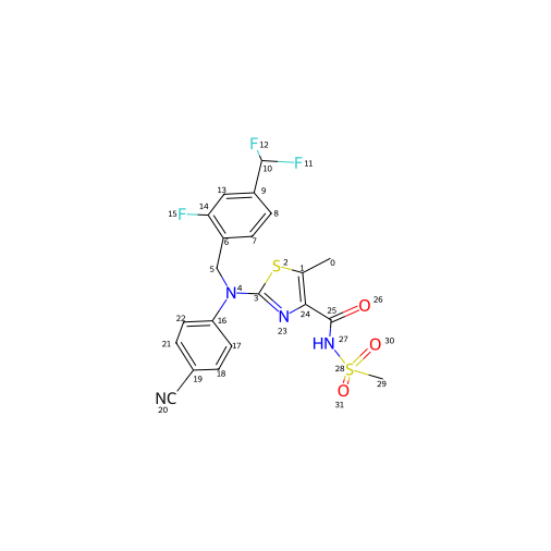 Cc1sc(N(Cc2ccc(C(F)F)cc2F)c2ccc(C#N)cc2)nc1C(=O)NS(C)(=O)=O